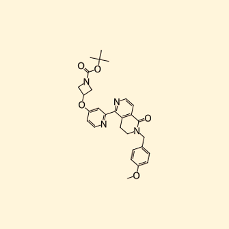 COc1ccc(CN2CCc3c(ccnc3-c3cc(OC4CN(C(=O)OC(C)(C)C)C4)ccn3)C2=O)cc1